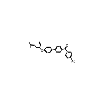 C=C/C(=C\C=C(C)C)Oc1ccc(-c2ccc(C(=O)c3ccc(C(C)=O)cc3)cc2)cc1